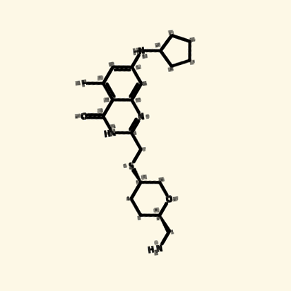 NC[C@H]1CC[C@@H](SCc2nc3cc(NC4CCCC4)cc(F)c3c(=O)[nH]2)CO1